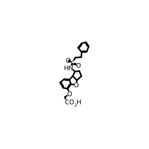 O=C(O)COc1cccc2c1OC1CCC(NS(=O)(=O)CCc3ccccc3)C21